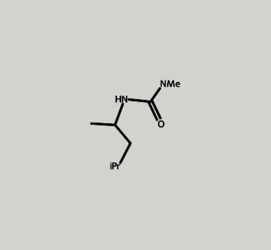 CNC(=O)NC(C)CC(C)C